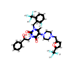 Cc1c(N2CCN(Cc3ccc(C(F)(F)F)o3)CC2)c(=O)n(CC(O)c2ccccc2)c(=O)n1Cc1c(F)cccc1C(F)(F)F